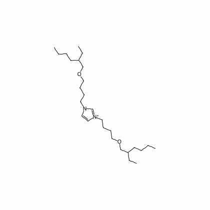 CCCCC(CC)COCCCCn1cc[n+](CCCCOCC(CC)CCCC)c1